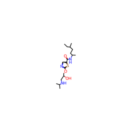 CCC(C)CCC(C)NC(=O)c1cnc(OCC(O)CNC(C)C)s1